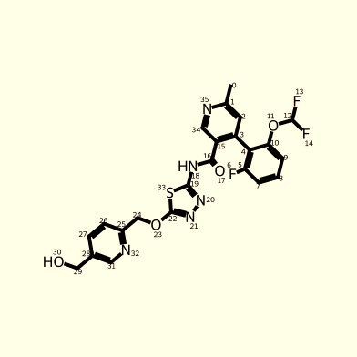 Cc1cc(-c2c(F)cccc2OC(F)F)c(C(=O)Nc2nnc(OCc3ccc(CO)cn3)s2)cn1